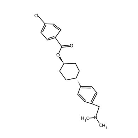 CN(C)Cc1ccc([C@H]2CC[C@H](OC(=O)c3ccc(Cl)cc3)CC2)cc1